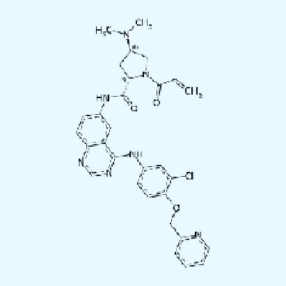 C=CC(=O)N1C[C@H](N(C)C)C[C@H]1C(=O)Nc1ccc2ncnc(Nc3ccc(OCc4ccccn4)c(Cl)c3)c2c1